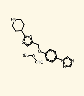 CC(C)(C)OC=O.c1ncn(-c2ccc(OCc3csc(C4CCNCC4)n3)cc2)n1